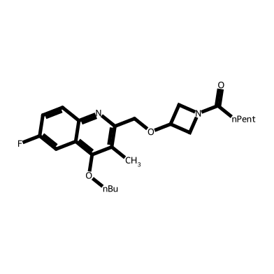 CCCCCC(=O)N1CC(OCc2nc3ccc(F)cc3c(OCCCC)c2C)C1